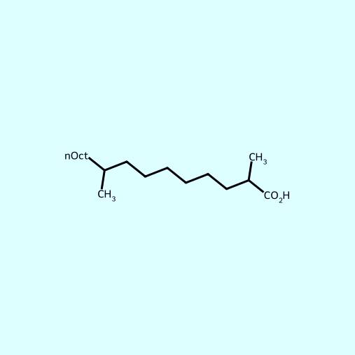 CCCCCCCCC(C)CCCCCCC(C)C(=O)O